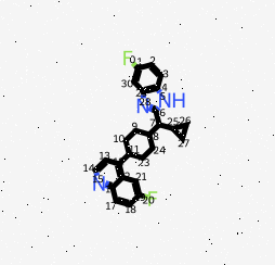 Fc1ccc2[nH]c(C(C3CCC(c4ccnc5ccc(F)cc45)CC3)C3CC3)nc2c1